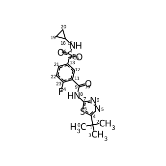 CC(C)(C)c1nnc(NC(=O)c2cc(S(=O)(=O)NC3CC3)ccc2F)s1